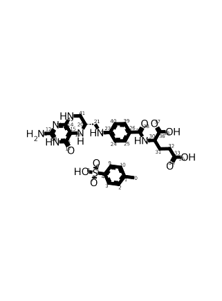 Cc1ccc(S(=O)(=O)O)cc1.Nc1nc2c(c(=O)[nH]1)N[C@@H](CNc1ccc(C(=O)NC(CCC(=O)O)C(=O)O)cc1)CN2